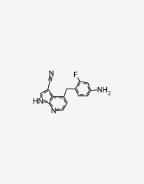 N#Cc1c[nH]c2nccc(Cc3ccc(N)cc3F)c12